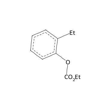 C[CH]OC(=O)Oc1ccccc1CC